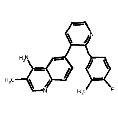 Cc1cc(-c2ncccc2-c2ccc3ncc(C)c(N)c3c2)ccc1F